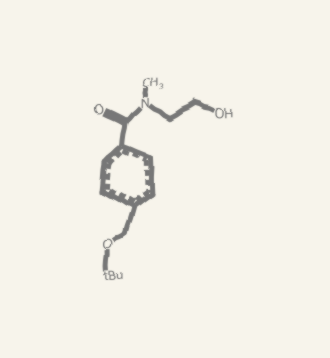 CN(CCO)C(=O)c1ccc(COC(C)(C)C)cc1